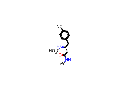 CC(C)NC(=O)C[C@@H](Cc1ccc(C#N)cc1)NC(=O)O